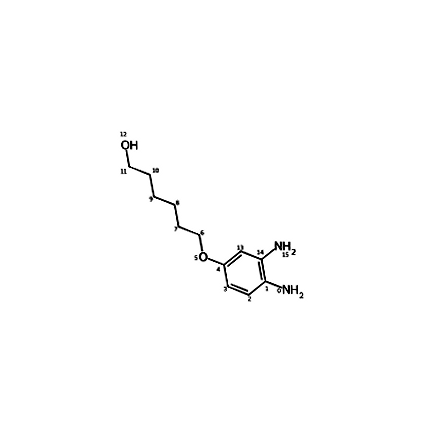 Nc1ccc(OCCCCCCO)cc1N